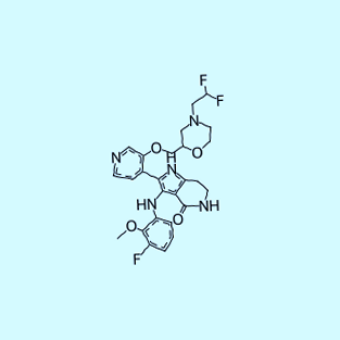 COc1c(F)cccc1Nc1c(-c2ccncc2OCC2CN(CC(F)F)CCO2)[nH]c2c1C(=O)NCC2